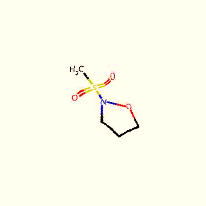 CS(=O)(=O)N1CCCO1